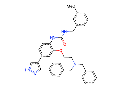 COc1cccc(CNC(=O)Nc2ccc(-c3cn[nH]c3)cc2OCCN(Cc2ccccc2)Cc2ccccc2)c1